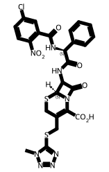 Cn1nnnc1SCC1=C(C(=O)O)N2C(=O)C(NC(=O)[C@@H](NC(=O)c3cc(Cl)ccc3[N+](=O)[O-])c3ccccc3)[C@@H]2SC1